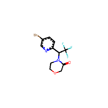 O=C1COCCN1C(c1ccc(Br)cn1)C(F)(F)F